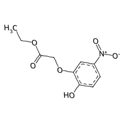 CCOC(=O)COc1cc([N+](=O)[O-])ccc1O